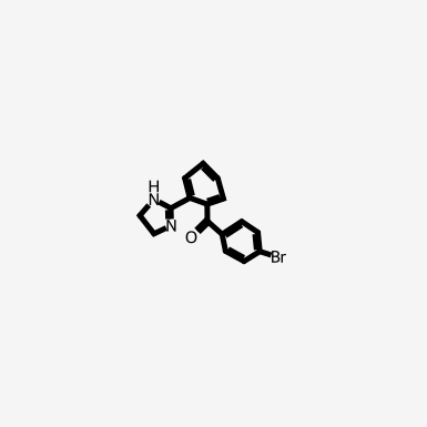 O=C(c1ccc(Br)cc1)c1ccccc1C1=NCCN1